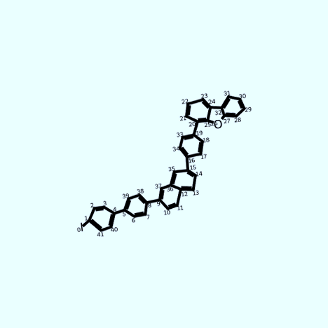 Ic1ccc(-c2ccc(-c3ccc4ccc(-c5ccc(-c6cccc7c6oc6ccccc67)cc5)cc4c3)cc2)cc1